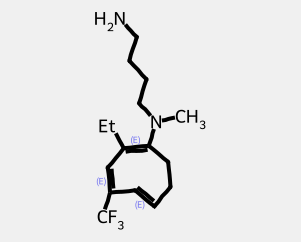 CCC1=C(\N(C)CCCCN)CC/C=C/C(C(F)(F)F)=C\1